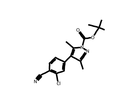 Cc1nn(C(=O)OC(C)(C)C)c(C)c1-c1ccc(C#N)c(Cl)c1